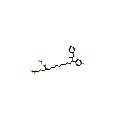 CCOC(=O)C(=CCCCCCCCCC1c2ccc(O)cc2OC(c2ccc(O)cc2)C1C)CCCC(F)(F)C(F)(F)F